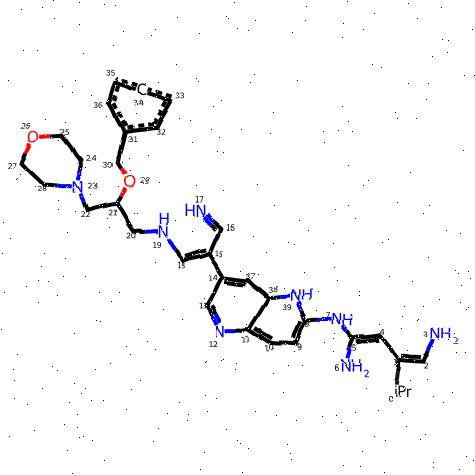 CC(C)C(=C/N)/C=C(\N)NC1=CC=C2N=CC(/C(C=N)=C/NCC(CN3CCOCC3)OCc3ccccc3)=CC2N1